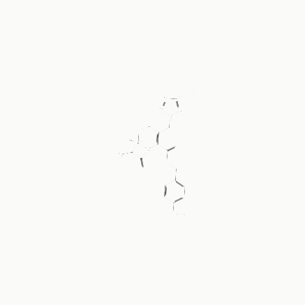 COc1ccc(COC(=O)C2=C(Cn3nnc(C)n3)CS[C@H]3C(N)C(=O)N23)cc1